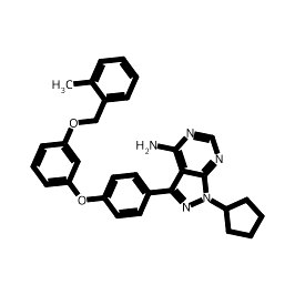 Cc1ccccc1COc1cccc(Oc2ccc(-c3nn(C4CCCC4)c4ncnc(N)c34)cc2)c1